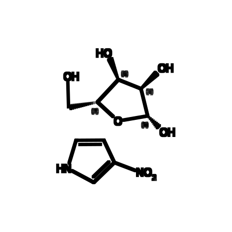 O=[N+]([O-])c1cc[nH]c1.OC[C@H]1O[C@@H](O)[C@H](O)[C@@H]1O